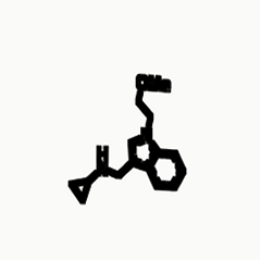 COCCn1cc(CNC2CC2)c2ccccc21